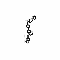 O=C(c1ccc(-c2ccc3c(Nc4ccc5scnc5c4)ccnc3c2)cc1)N1CCN(c2ccccc2)CC1